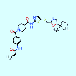 C=CC(=O)Nc1ccc(C(=O)N2CCC(C(=O)Nc3ncc(SCC4=NCC(C(C)(C)C)O4)s3)CC2)cc1